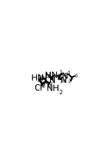 CC(C)Cn1cc(Nc2nc(N)c3c(Cl)c[nH]c3n2)cn1